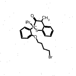 CC1C(=O)[N+](c2ccccc2OCCCCBr)(C(C)C)Sc2ccccc21